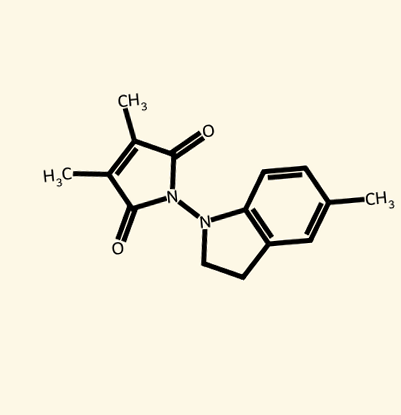 CC1=C(C)C(=O)N(N2CCc3cc(C)ccc32)C1=O